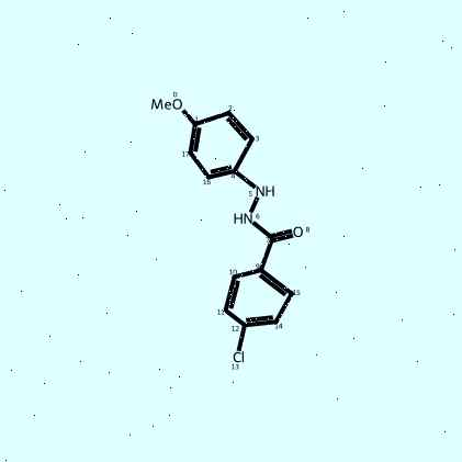 COc1ccc(NNC(=O)c2ccc(Cl)cc2)cc1